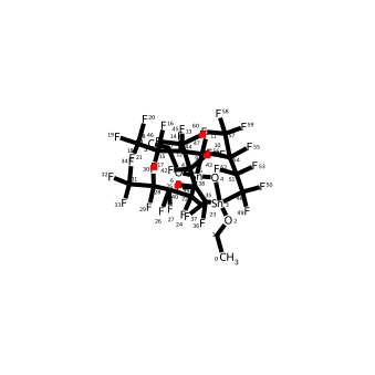 CC[O][Sn]([O][Sn]([O]CC)([C](F)(F)C(F)(F)C(F)(F)C(F)(F)F)[C](F)(F)C(F)(F)C(F)(F)C(F)(F)F)([C](F)(F)C(F)(F)C(F)(F)C(F)(F)F)[C](F)(F)C(F)(F)C(F)(F)C(F)(F)F